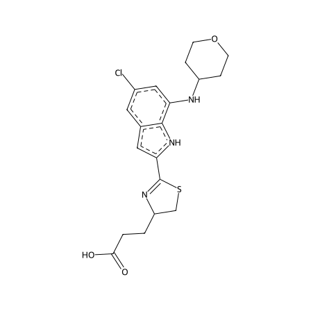 O=C(O)CCC1CSC(c2cc3cc(Cl)cc(NC4CCOCC4)c3[nH]2)=N1